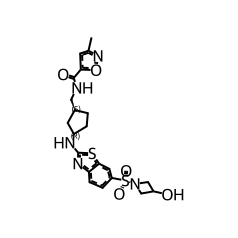 Cc1cc(C(=O)NC[C@H]2CC[C@@H](Nc3nc4ccc(S(=O)(=O)N5CC(O)C5)cc4s3)C2)on1